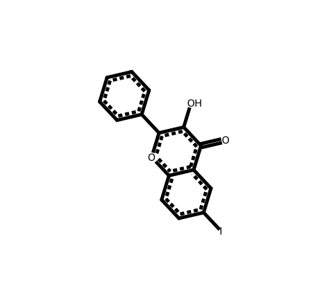 O=c1c(O)c(-c2ccccc2)oc2ccc(I)cc12